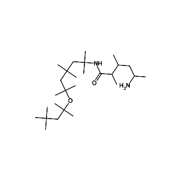 CC(N)CC(C)C(C)C(=O)NC(C)(C)CC(C)(C)CC(C)(C)OC(C)(C)CC(C)(C)C